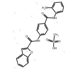 CS(=O)(=O)O.Nc1ccccc1NC(=O)c1ccc(NC(=O)c2cc3ccccc3o2)cc1